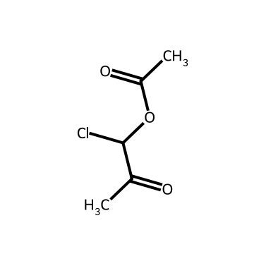 CC(=O)OC(Cl)C(C)=O